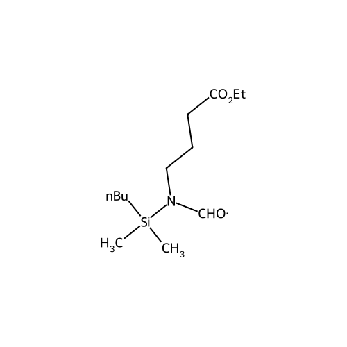 CCCC[Si](C)(C)N([C]=O)CCCC(=O)OCC